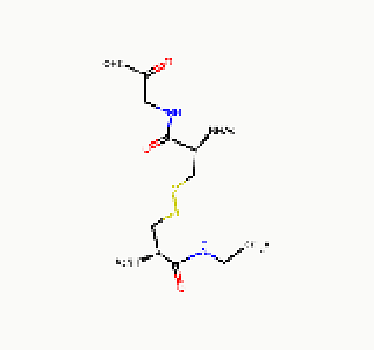 CC(=O)N[C@@H](CSSC[C@H](NC(C)=O)C(=O)NCC(=O)C=O)C(=O)NCC(=O)O